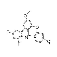 COc1ccc2c(c1)Oc1cc(OC)cc3c1c-2nc1c(F)cc(F)cc13